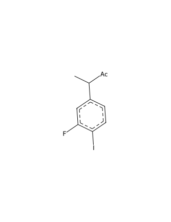 CC(=O)C(C)c1ccc(I)c(F)c1